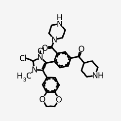 CN1C(c2ccc3c(c2)OCCO3)=C(c2ccc(C(=O)C3CCNCC3)cc2C(=O)N2CCNCC2)N(Cl)C1Cl